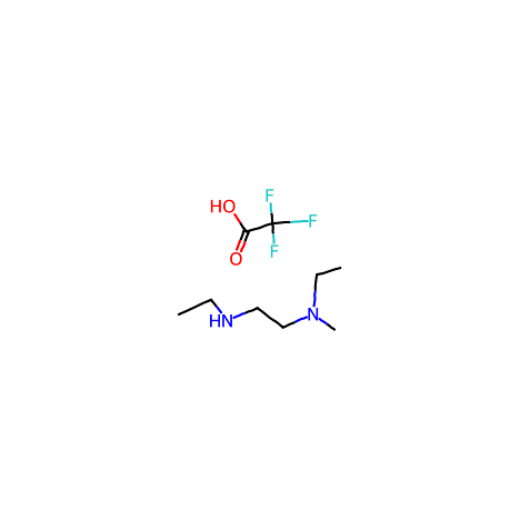 CCNCCN(C)CC.O=C(O)C(F)(F)F